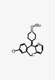 CC(C)(C)ON1CCC(=C2c3ccc(Cl)cc3CCc3cccnc32)CC1